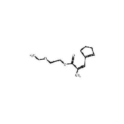 CCOCCOC(=O)C(C)=CC1=CCCC1